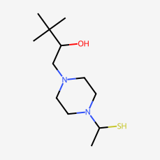 CC(S)N1CCN(CC(O)C(C)(C)C)CC1